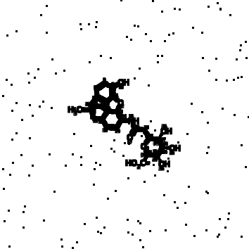 CN1CCC23c4c5ccc(O)c4OC2C(NC(=O)CC2O[C@H](C(=O)O)[C@@H](O)[C@H](O)[C@H]2O)C=CC3C1C5